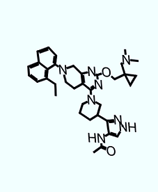 CCc1cccc2cccc(N3CCc4c(nc(OCC5(CN(C)C)CC5)nc4N4CCCC(c5n[nH]cc5NC(C)=O)C4)C3)c12